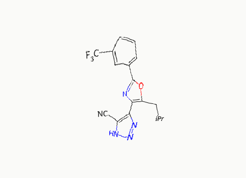 CC(C)Cc1oc(-c2cccc(C(F)(F)F)c2)nc1-c1nn[nH]c1C#N